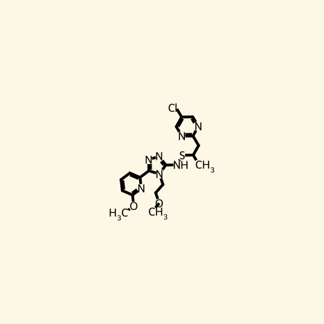 COCCn1c(NSC(C)Cc2ncc(Cl)cn2)nnc1-c1cccc(OC)n1